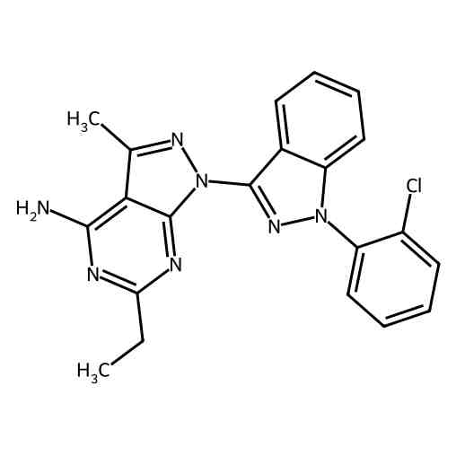 CCc1nc(N)c2c(C)nn(-c3nn(-c4ccccc4Cl)c4ccccc34)c2n1